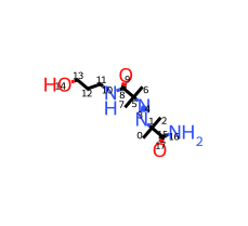 CC(C)(N=NC(C)(C)C(=O)NCCCO)C(N)=O